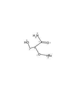 CCCCOC(CO)C(N)=O